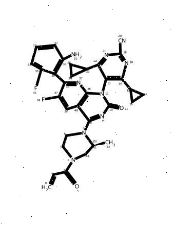 C=CC(=O)N1CCN(c2nc(=O)n(-c3c(C4CC4)nc(C#N)nc3C3CC3)c3nc(-c4c(N)cccc4F)c(F)cc23)[C@@H](C)C1